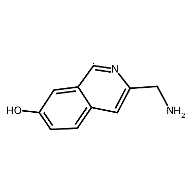 NCc1cc2ccc(O)cc2[c]n1